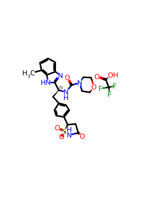 Cc1cccc2nc([C@H](Cc3ccc(C4CC(=O)NS4(=O)=O)cc3)NC(=O)N3CCOCC3)[nH]c12.O=C(O)C(F)(F)F